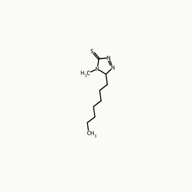 CCCCCCCC1N=NC(=S)N1C